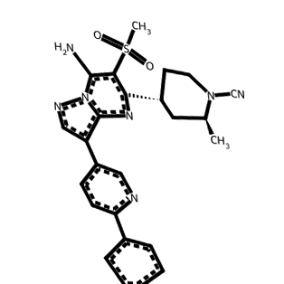 C[C@H]1C[C@H](c2nc3c(-c4ccc(-c5ccccc5)nc4)cnn3c(N)c2S(C)(=O)=O)CCN1C#N